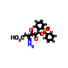 N[C@@H](CC(=O)O)C(=O)C(=O)COP(=O)(c1ccccc1)c1ccccc1